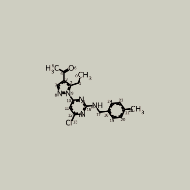 CCc1c(C(C)=O)cnn1-c1cc(Cl)nc(NCc2ccc(C)cc2)n1